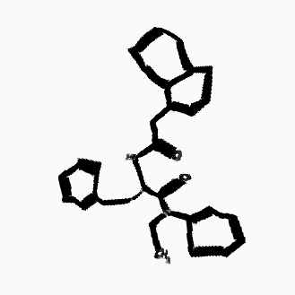 CCN(C(=O)[C@H](Cc1ccccc1)NC(=O)Cc1cccc2ccccc12)c1ccccc1